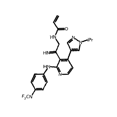 C=CC(=O)NCC(=N)c1c(-c2cnn(C(C)C)c2)ccnc1Nc1ccc(NC(F)(F)F)cc1